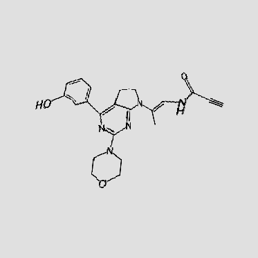 C#CC(=O)N/C=C(\C)N1CCc2c(-c3cccc(O)c3)nc(N3CCOCC3)nc21